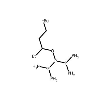 CCC(CCC(C)(C)C)OP(P(P)P)P(P)P